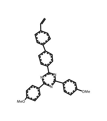 C=Cc1ccc(-c2ccc(-c3nc(-c4ccc(OC)cc4)nc(-c4ccc(OC)cc4)n3)cc2)cc1